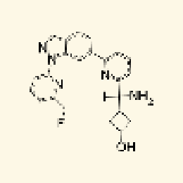 NC(I)(c1cccc(-c2ccc3cnn(-c4cccc(CF)n4)c3c2)n1)C1CC(O)C1